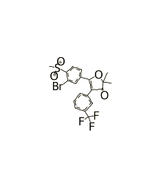 CC1(C)OC(c2ccc(S(C)(=O)=O)c(Br)c2)=C(c2cccc(C(F)(F)F)c2)C1=O